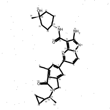 Cc1cc(-c2ccn3nc(N)c(C(=O)N[C@H]4CC[C@@](C)(O)CC4)c3n2)cc2c1C(=O)N([C@@H](C)C1CC1)C2